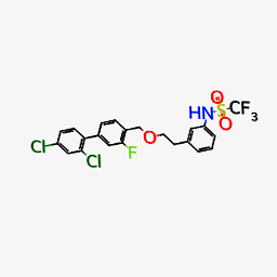 O=S(=O)(Nc1cccc(CCOCc2ccc(-c3ccc(Cl)cc3Cl)cc2F)c1)C(F)(F)F